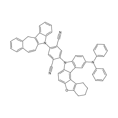 N#Cc1cc(-n2c3ccc(N(c4ccccc4)c4ccccc4)cc3c3c4c5c(oc4ccc32)CCCC5)c(C#N)cc1-n1c2c(c3ccccc31)Cc1ccccc1C=C2